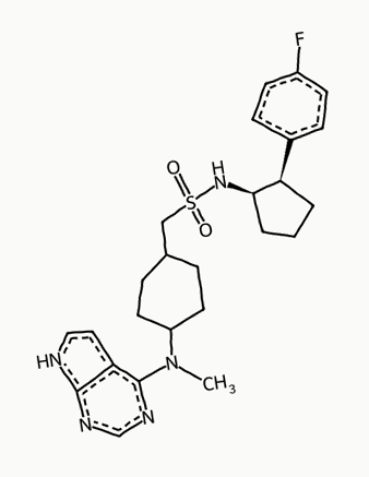 CN(c1ncnc2[nH]ccc12)C1CCC(CS(=O)(=O)N[C@@H]2CCC[C@@H]2c2ccc(F)cc2)CC1